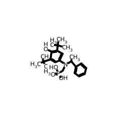 CC(c1ccccc1)N(CP(=O)(O)O)c1cc(C(C)(C)C)c(O)c(C(C)(C)C)c1